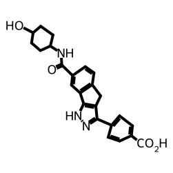 O=C(O)c1ccc(-c2n[nH]c3c2Cc2ccc(C(=O)NC4CCC(O)CC4)cc2-3)cc1